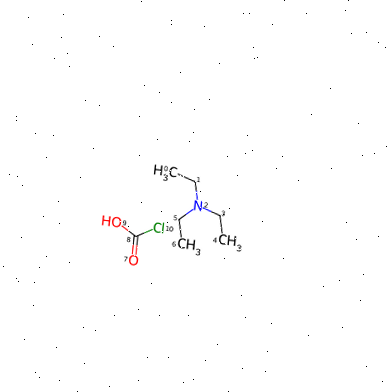 CCN(CC)CC.O=C(O)Cl